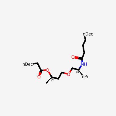 CCCCCCCCCCCCCC(=O)N[C@@H](CCC)COCC[C@@H](C)OC(=O)CCCCCCCCCCC